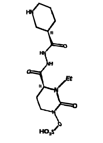 CCN1C(=O)N(OS(=O)(=O)O)CC[C@H]1C(=O)NNC(=O)[C@@H]1CCCNC1